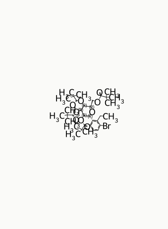 CCc1c(Br)cccc1[C@H]1O[C@H](COC(=O)C(C)(C)C)[C@@H](OC(=O)C(C)(C)C)[C@H](OC(=O)C(C)(C)C)[C@@H]1OC(=O)C(C)(C)C